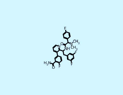 CN(C)C(C(=O)NC(Cc1cc(F)cc(F)c1)c1ncccc1-c1ccc(F)c(C(N)=O)c1)c1ccc(F)cc1